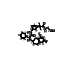 CC(C)(C)CNC(=O)C(C)(C)n1cnc(NC(=O)[C@@H](NC2CCc3cc(F)cc(F)c3C2)c2ccccc2)c1